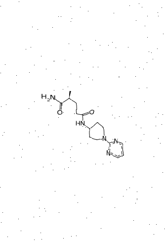 C[C@@H](C[CH]C(=O)NC1CCN(c2ncccn2)CC1)C(N)=O